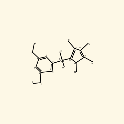 CCc1cc(CC)cc([Si](C)(C)C2=C(C)C(C)=C(C)C2C)c1